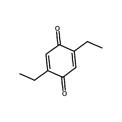 CCC1=CC(=O)C(CC)=CC1=O